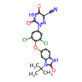 CC(C)(C)n1c(=O)[nH]c2ccc(Oc3c(Cl)cc(-n4nc(C#N)c(=O)[nH]c4=O)cc3Cl)cc21